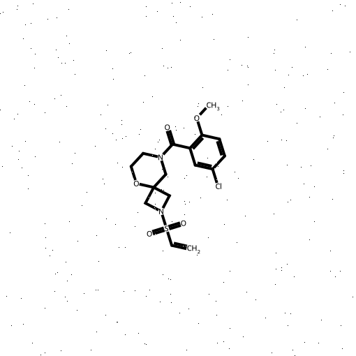 C=CS(=O)(=O)N1CC2(CN(C(=O)c3cc(Cl)ccc3OC)CCO2)C1